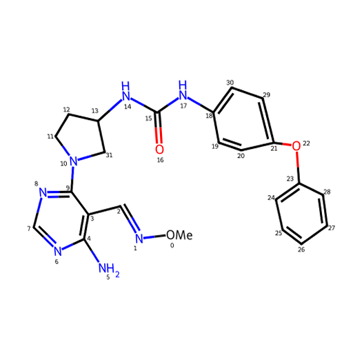 CON=Cc1c(N)ncnc1N1CCC(NC(=O)Nc2ccc(Oc3ccccc3)cc2)C1